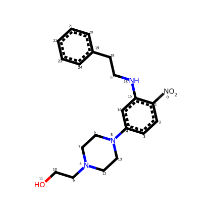 O=[N+]([O-])c1ccc(N2CCN(CCO)CC2)cc1NCCc1ccccc1